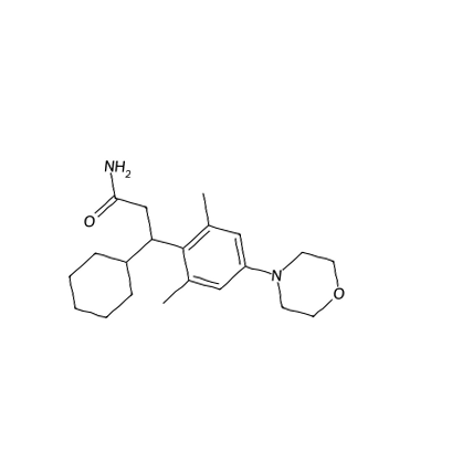 Cc1cc(N2CCOCC2)cc(C)c1C(CC(N)=O)C1CCCCC1